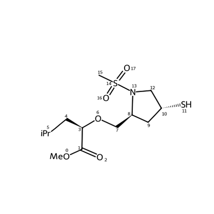 COC(=O)[C@@H](CC(C)C)OC[C@@H]1C[C@@H](S)CN1S(C)(=O)=O